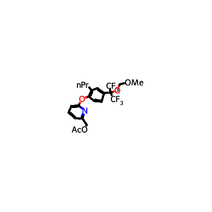 CCCc1cc(C(OCOC)(C(F)(F)F)C(F)(F)F)ccc1Oc1cccc(COC(C)=O)n1